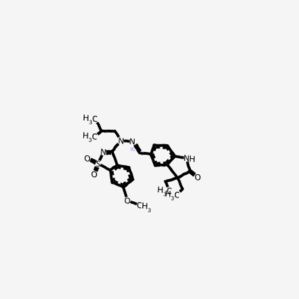 CCC1(CC)C(=O)Nc2ccc(/C=N/N(CC(C)C)C3=NS(=O)(=O)c4cc(OC)ccc43)cc21